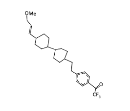 COC/C=C/C1CCC(C2CCC(CCc3ccc(C(=O)C(F)(F)F)cc3)CC2)CC1